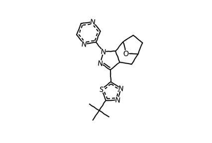 CC(C)(C)c1nnc(C2=NN(c3cnccn3)C3C4CCC(CC23)O4)s1